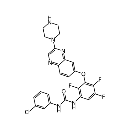 O=C(Nc1cccc(Cl)c1)Nc1cc(F)c(F)c(Oc2ccc3ncc(N4CCNCC4)nc3c2)c1F